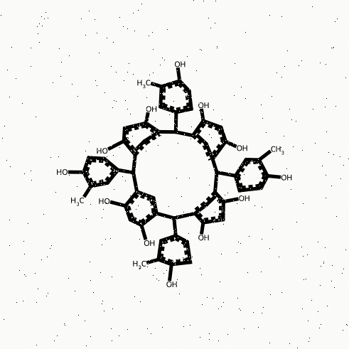 Cc1cc(C2c3cc(c(O)cc3O)C(c3ccc(O)c(C)c3)c3cc(c(O)cc3O)C(c3ccc(O)c(C)c3)c3cc(c(O)cc3O)C(c3ccc(O)c(C)c3)c3cc2c(O)cc3O)ccc1O